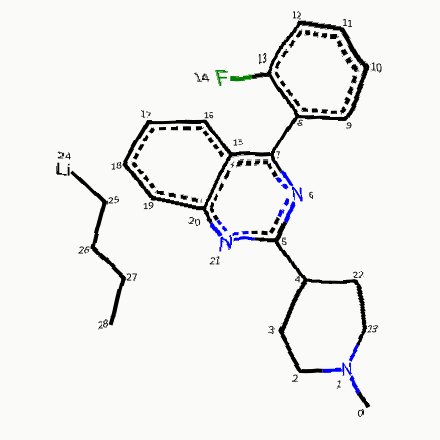 CN1CCC(c2nc(-c3ccccc3F)c3ccccc3n2)CC1.[Li][CH2]CCC